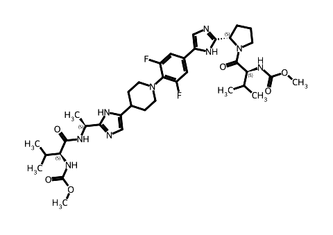 COC(=O)N[C@H](C(=O)N[C@@H](C)c1ncc(C2CCN(c3c(F)cc(-c4cnc([C@@H]5CCCN5C(=O)[C@@H](NC(=O)OC)C(C)C)[nH]4)cc3F)CC2)[nH]1)C(C)C